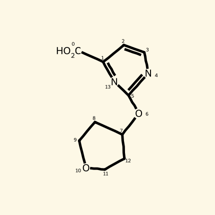 O=C(O)c1ccnc(OC2CCOCC2)n1